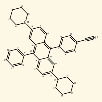 N#Cc1ccc(-c2c3ccc(N4CCCCC4)cc3c(-c3ccccc3)c3ccc(N4CCCCC4)cc23)cc1